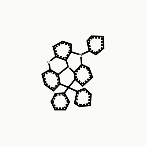 c1ccc(N2c3cccc4c3B3c5c(cccc5C(c5ccccc5)(c5ccccc5)c5cccc2c53)O4)cc1